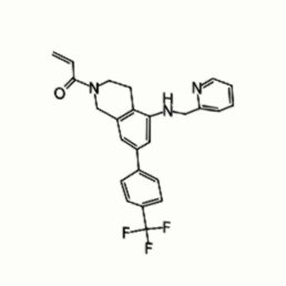 C=CC(=O)N1CCc2c(cc(-c3ccc(C(F)(F)F)cc3)cc2NCc2ccccn2)C1